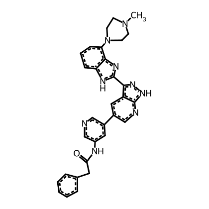 CN1CCN(c2cccc3[nH]c(-c4n[nH]c5ncc(-c6cncc(NC(=O)Cc7ccccc7)c6)cc45)nc23)CC1